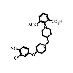 COc1cccc(C(=O)O)c1N1CCC(CN2CCC(Oc3ccc(C#N)c(Cl)c3)CC2)CC1